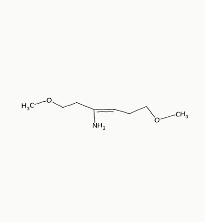 COCCC=C(N)CCOC